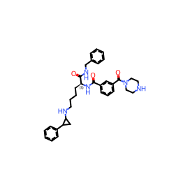 O=C(N[C@@H](CCCCNC1CC1c1ccccc1)C(=O)NCc1ccccc1)c1cccc(C(=O)N2CCNCC2)c1